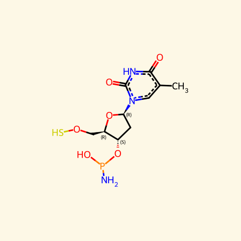 Cc1cn([C@H]2C[C@H](OP(N)O)[C@@H](COS)O2)c(=O)[nH]c1=O